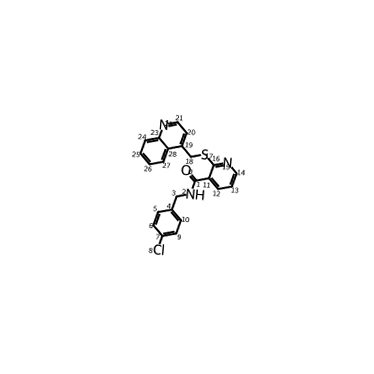 O=C(NCc1ccc(Cl)cc1)c1cccnc1SCc1ccnc2ccccc12